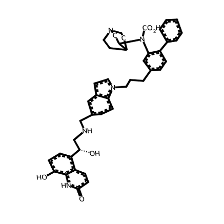 O=C(O)N(c1cc(CCCn2ccc3cc(CNC[C@H](O)c4ccc(O)c5[nH]c(=O)ccc45)ccc32)ccc1-c1ccccc1)C1CN2CCC1CC2